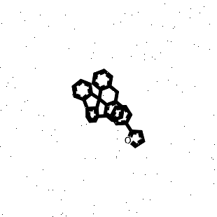 c1cc(-c2ccco2)cc(-c2cccc3c2C2(c4ccccc4Cc4ccccc42)c2ccccc2-3)c1